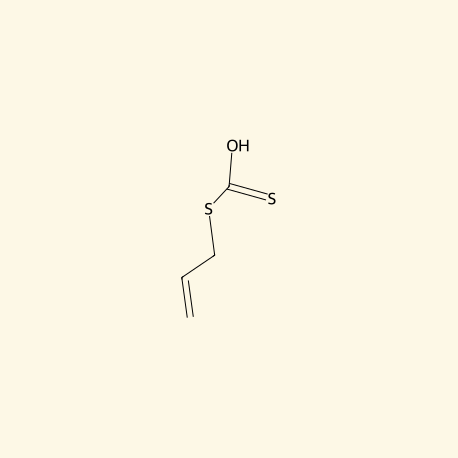 C=CCSC(O)=S